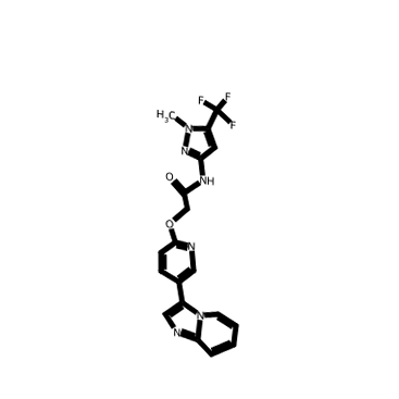 Cn1nc(NC(=O)COc2ccc(-c3cnc4ccccn34)cn2)cc1C(F)(F)F